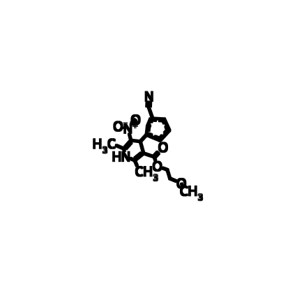 COCCOC(=O)C1=C(C)NC(C)=C([N+](=O)[O-])C1c1cccc(C#N)c1